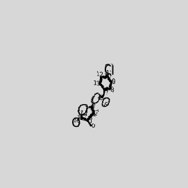 CC1=C[C@H](OC(=O)c2ccc(Cl)cc2)OC1=O